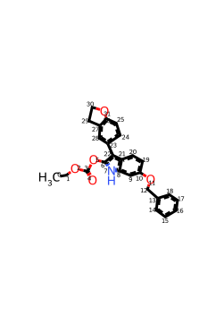 CCOC(=O)Oc1[nH]c2cc(OCc3ccccc3)ccc2c1-c1ccc2c(c1)CCO2